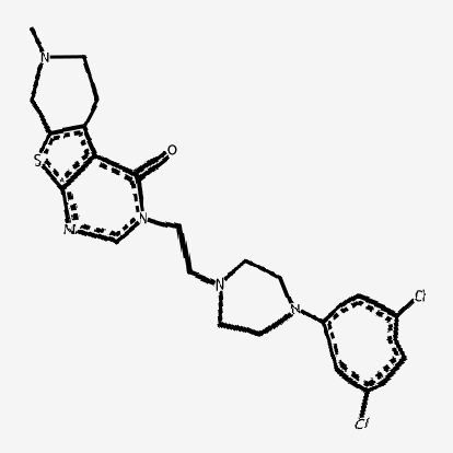 CN1CCc2c(sc3ncn(CCN4CCN(c5cc(Cl)cc(Cl)c5)CC4)c(=O)c23)C1